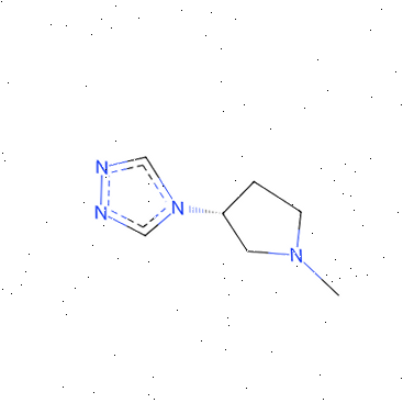 CN1CC[C@@H](n2cnnc2)C1